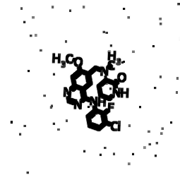 COc1cc2ncnc(Nc3cccc(Cl)c3F)c2cc1CN(C)[C@H]1CCCNC1=O